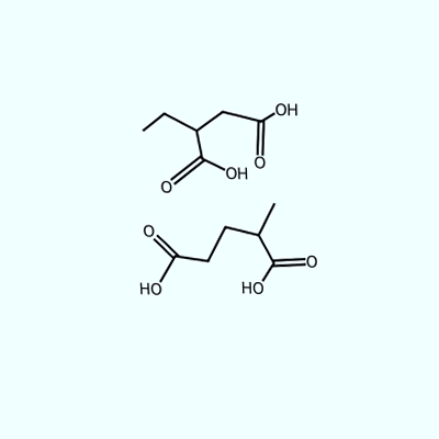 CC(CCC(=O)O)C(=O)O.CCC(CC(=O)O)C(=O)O